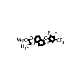 COC(=O)C(C)Oc1cccc2c(Oc3c(F)cc(C(F)(F)F)c(F)c3F)cccc12